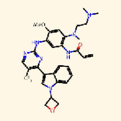 C=CC(=O)Nc1cc(Nc2ncc(C(F)(F)F)c(-c3cn(C4COC4)c4ccccc34)n2)c(OC)cc1N(C)CCN(C)C